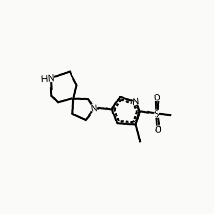 Cc1cc(N2CCC3(CCNCC3)C2)cnc1S(C)(=O)=O